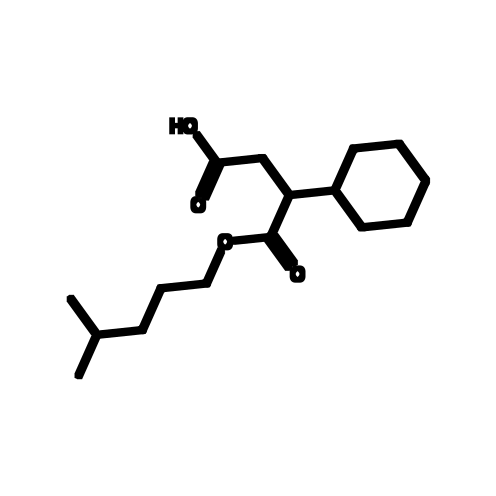 CC(C)CCCOC(=O)C(CC(=O)O)C1CCCCC1